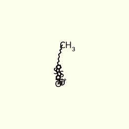 CCCCCCCCCCc1ccc2c(c1)sc1c3ccc([N+](=O)[O-])cc3sc21